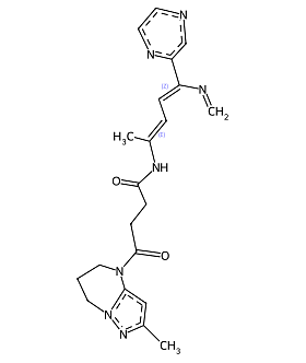 C=N/C(=C\C=C(/C)NC(=O)CCC(=O)N1CCCn2nc(C)cc21)c1cnccn1